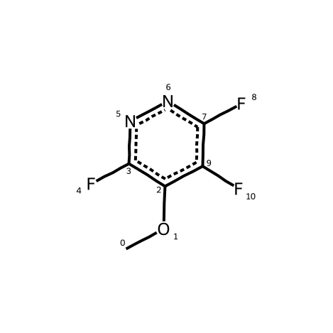 COc1c(F)nnc(F)c1F